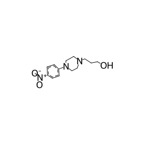 O=[N+]([O-])c1ccc(N2CCN(CCCO)CC2)cc1